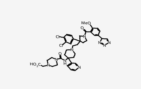 COc1ccc(C2C=NN=N2)cc1C(=O)N1CCC(CCN2CCC(NC(=O)N3CCN(CC(=O)O)CC3)(c3cccnc3)CC2)(c2ccc(Cl)c(Cl)c2)C1